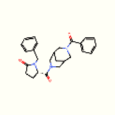 O=C(c1ccccc1)N1CC2CC(C1)CN(C(=O)[C@@H]1CCC(=O)N1Cc1ccccc1)C2